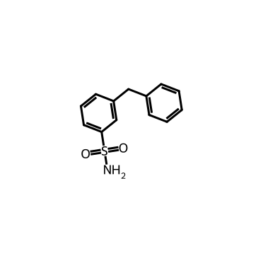 NS(=O)(=O)c1cccc(Cc2ccccc2)c1